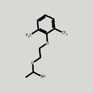 CC(S)OCCOc1c(C(F)(F)F)cccc1C(F)(F)F